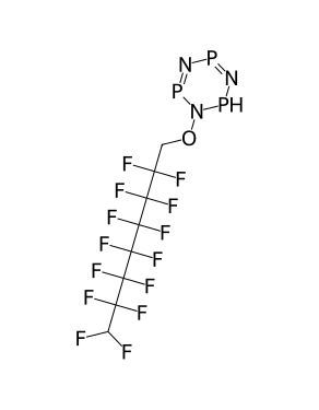 FC(F)C(F)(F)C(F)(F)C(F)(F)C(F)(F)C(F)(F)C(F)(F)CON1P=NP=NP1